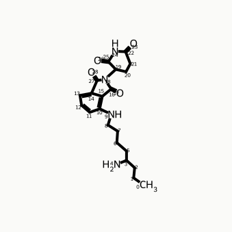 CCCC(N)CCCCNc1cccc2c1C(=O)N(C1CCC(=O)NC1=O)C2=O